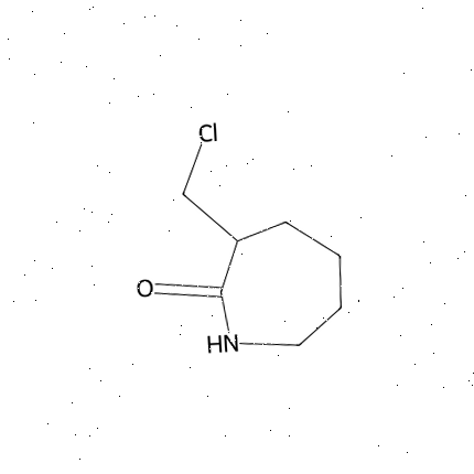 O=C1NCCCCC1CCl